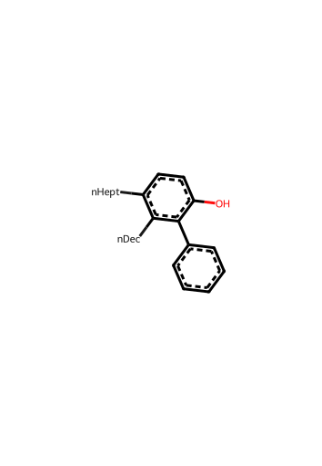 CCCCCCCCCCc1c(CCCCCCC)ccc(O)c1-c1ccccc1